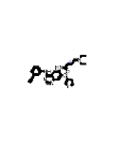 C#Cc1cccc(Nc2ncnc3cc(OC4CCOC4)c(NC(=O)/C=C/CN(CC)CC)cc23)c1